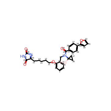 BC1(N(Cc2ccccc2OCCCCCC2=NC(=O)NC2=O)C(=O)c2ccc(-c3ccco3)cc2)CC1